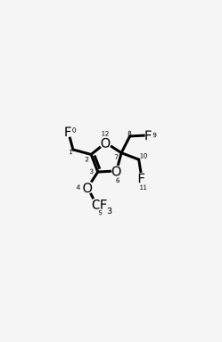 FCC1=C(OC(F)(F)F)OC(CF)(CF)O1